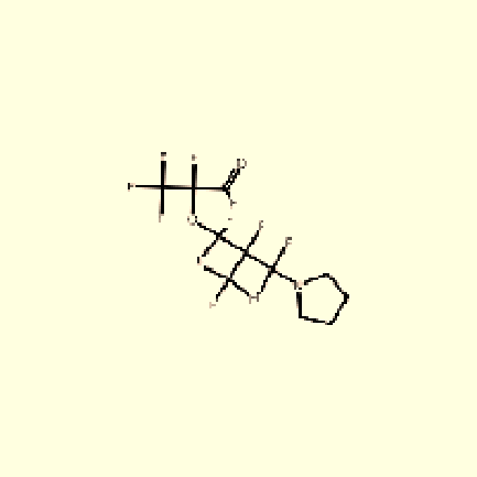 O=C(F)C(F)(OC(F)(F)C(F)(C(F)(F)F)C(F)(F)N1CCCC1)C(F)(F)F